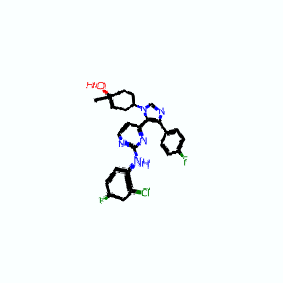 CC1(O)CCC(n2cnc(-c3ccc(F)cc3)c2-c2ccnc(Nc3ccc(F)cc3Cl)n2)CC1